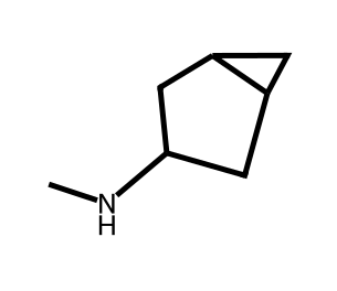 CNC1CC2CC2C1